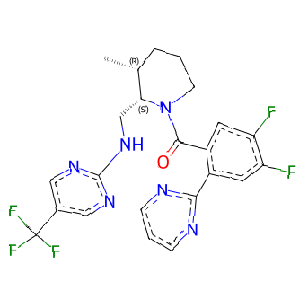 C[C@@H]1CCCN(C(=O)c2cc(F)c(F)cc2-c2ncccn2)[C@@H]1CNc1ncc(C(F)(F)F)cn1